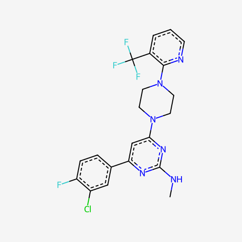 CNc1nc(-c2ccc(F)c(Cl)c2)cc(N2CCN(c3ncccc3C(F)(F)F)CC2)n1